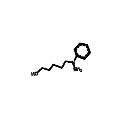 NN(CCCCCO)c1ccccc1